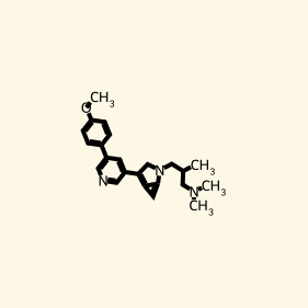 COc1ccc(-c2cncc(C3=C4C=C4N(CC(C)CN(C)C)C3)c2)cc1